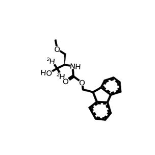 [2H]C([2H])(O)[C@@H](COC)NC(=O)OCC1c2ccccc2-c2ccccc21